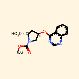 CC(C)(C)OC(=O)N1C[C@H](Oc2ncnc3ccccc23)C[C@H]1C(=O)O